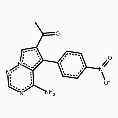 CC(=O)c1cn2ncnc(N)c2c1-c1ccc([N+](=O)[O-])cc1